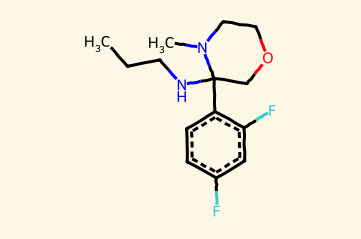 CCCNC1(c2ccc(F)cc2F)COCCN1C